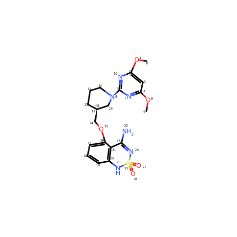 COc1cc(OC)nc(N2CCC[C@H](COc3cccc4c3C(N)=NS(=O)(=O)N4)C2)n1